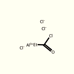 CCC(=O)Cl.[Al+3].[Cl-].[Cl-].[Cl-]